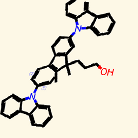 C/C=C(\C=C/C1=C(C)C(C)(CCCO)c2cc(-n3c4ccccc4c4ccccc43)ccc21)n1c2ccccc2c2ccccc21